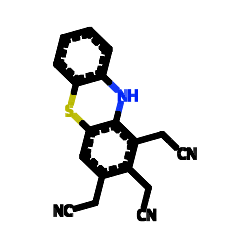 N#CCc1cc2c(c(CC#N)c1CC#N)Nc1ccccc1S2